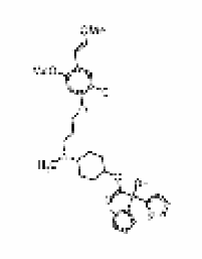 CO/C=C/c1cc(Cl)c(OCCCN(C)[C@H]2CC[C@H](OC(=O)C(O)(c3cccs3)c3cccs3)CC2)cc1OC